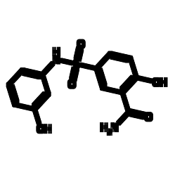 NC(=O)c1cc(S(=O)(=O)Nc2cccc(O)c2)ccc1O